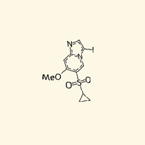 COc1cc2ncc(I)n2cc1S(=O)(=O)C1CC1